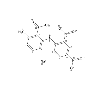 Cc1cccc(Nc2ccc([N+](=O)[O-])cc2[N+](=O)[O-])c1C(=O)[O-].[Na+]